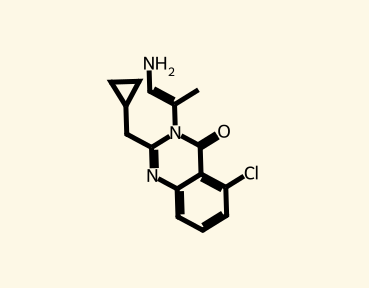 C/C(=C\N)n1c(CC2CC2)nc2cccc(Cl)c2c1=O